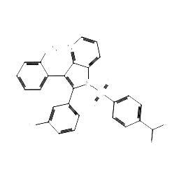 N#Cc1ccccc1-c1c(-c2cccc(Br)c2)n(S(=O)(=O)c2ccc(C(F)F)cc2)c2cccnc12